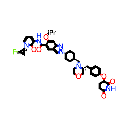 CC(C)Oc1cc2nn([C@H]3CC[C@H](CN4CCOC[C@@H]4Cc4ccc(OC5CCC(=O)NC5=O)cc4)CC3)cc2cc1C(=O)Nc1cccn([C@H]2C[C@H]2F)c1=O